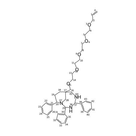 C=CCOCCOCCOCCOCCOCC12CCC(c3ccccc3)N(C1)C(c1ccccc1)NC(c1ccccc1)NC2